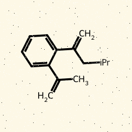 C=C(C)c1ccccc1C(=C)CC(C)C